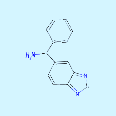 NC(c1ccccc1)c1ccc2c(c1)=N[C]N=2